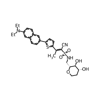 CCN(CC)c1ccc2cc(-c3ccc(/C(C)=C(\C#N)S(=O)(=O)NC[C@H]4OCC[C@@H](O)[C@@H]4O)s3)ccc2c1